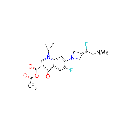 CNCC(F)=C1CN(c2cc3c(cc2F)c(=O)c(C(=O)OC(=O)C(F)(F)F)cn3C2CC2)C1